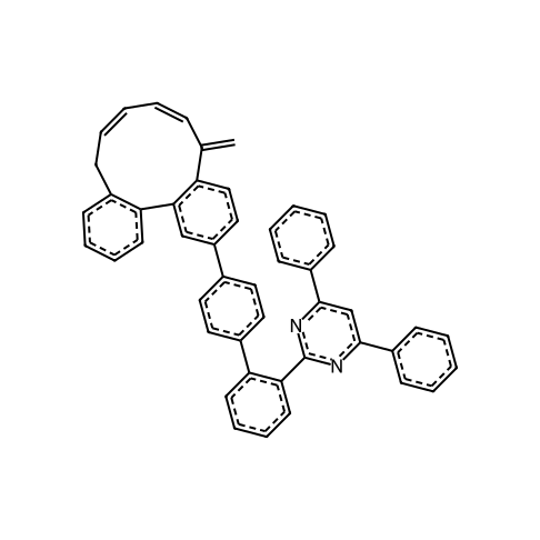 C=C1/C=C\C=C/Cc2ccccc2-c2cc(-c3ccc(-c4ccccc4-c4nc(-c5ccccc5)cc(-c5ccccc5)n4)cc3)ccc21